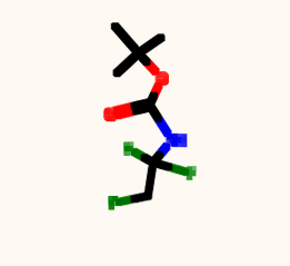 CC(C)(C)OC(=O)NC(F)(F)CF